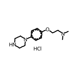 CN(C)CCOc1ccc(N2CCNCC2)cc1.Cl